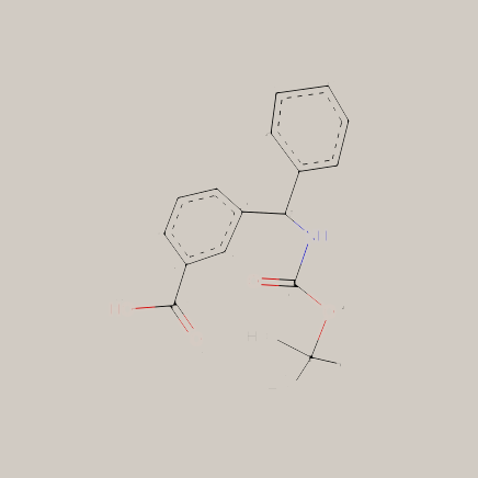 CC(C)(C)OC(=O)NC(c1ccccc1)c1cccc(C(=O)O)c1